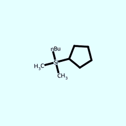 CCCC[Si](C)(C)[C]1CCCC1